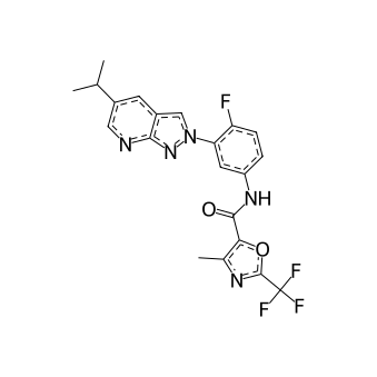 Cc1nc(C(F)(F)F)oc1C(=O)Nc1ccc(F)c(-n2cc3cc(C(C)C)cnc3n2)c1